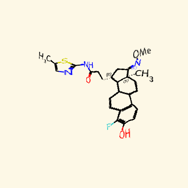 CO/N=C1\C[C@@H](CCC(=O)Nc2ncc(C)s2)C2C3CCc4c(ccc(O)c4F)C3CC[C@]12C